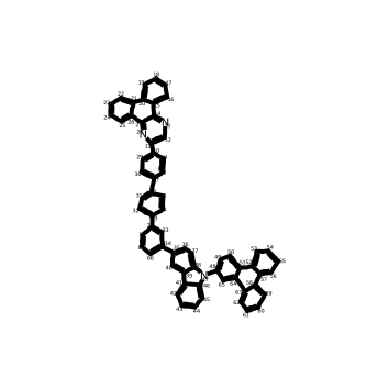 c1cc(-c2ccc(-c3ccc(-c4cnc5c6ccccc6c6ccccc6c5n4)cc3)cc2)cc(-c2ccc3c(c2)c2ccccc2n3-c2ccc3c4ccccc4c4ccccc4c3c2)c1